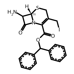 NC1C(=O)N2C(C(=O)OC(c3ccccc3)c3ccccc3)=C(CI)CS[C@@H]12